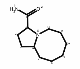 NC(=O)C1CCC2CCCCCCN21